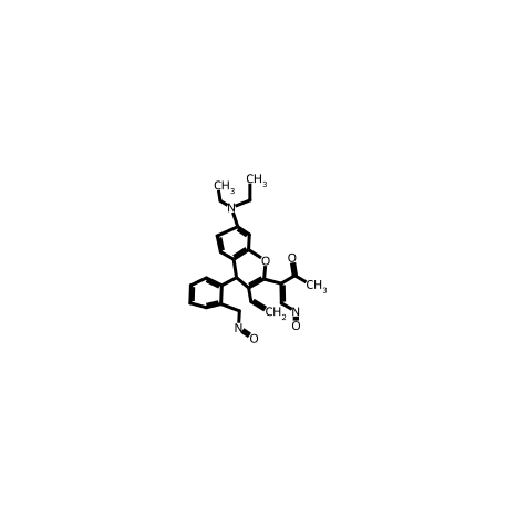 C=CC1=C(/C(=C/N=O)C(C)=O)Oc2cc(N(CC)CC)ccc2C1c1ccccc1CN=O